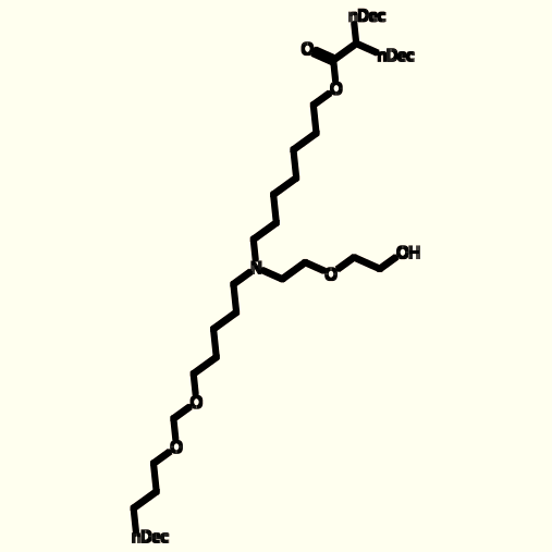 CCCCCCCCCCCCCOCOCCCCCN(CCCCCCCOC(=O)C(CCCCCCCCCC)CCCCCCCCCC)CCOCCO